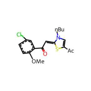 CCCCN1C=C(C(C)=O)S/C1=C\C(=O)c1cc(Cl)ccc1OC